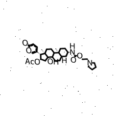 CC(=O)O[C@H]1C[C@]2(O)C3CC[C@@H]4C[C@@H](NC(=O)OCCN5CCCC5)CC[C@]4(C)C3CC[C@]2(C)[C@H]1c1ccc(=O)oc1